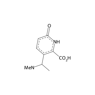 CNC(C)c1ccc(=O)[nH]c1C(=O)O